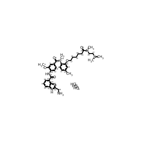 COc1cc(C(=O)N(C)c2ccc(C)cc2OCCCCCC(=O)N(C)CCN(C)C)ccc1NC(=O)c1cccc2[nH]c(CN)nc12.Cl.Cl.Cl